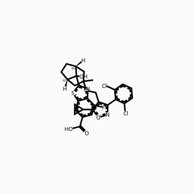 CC1(OCc2c(-c3c(Cl)cccc3Cl)noc2C2CC2)C[C@H]2CC[C@@H](C1)C2(O)c1nc2c(F)cc(C(=O)O)cc2s1